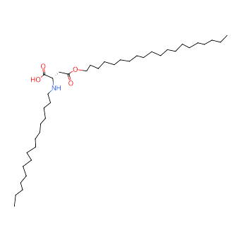 CCCCCCCCCCCCCCCCCCCCOC(=O)C[C@H](NCCCCCCCCCCCCCCCC)C(=O)O